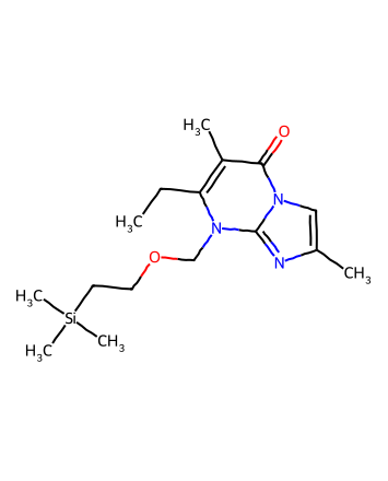 CCc1c(C)c(=O)n2cc(C)nc2n1COCC[Si](C)(C)C